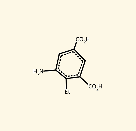 CCc1c(N)cc(C(=O)O)cc1C(=O)O